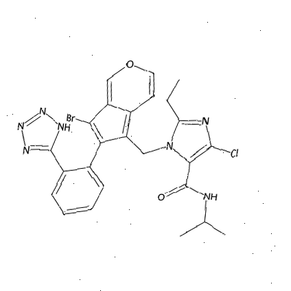 CCc1nc(Cl)c(C(=O)NC(C)C)n1Cc1c2ccocc-2c(Br)c1-c1ccccc1-c1nnn[nH]1